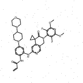 C=CC(=O)Nc1ccc(N2CCC(N3CCOCC3)CC2)cc1Nc1cc2c(cn1)CN(c1c(F)c(OC)nc(OC)c1F)C(=O)C21CC1